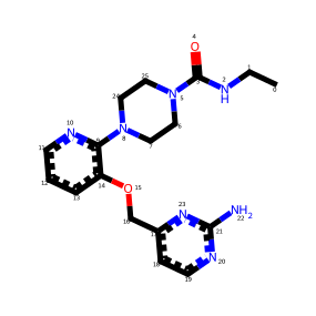 CCNC(=O)N1CCN(c2ncccc2OCc2ccnc(N)n2)CC1